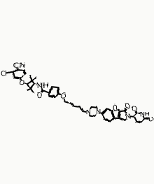 CC1(C)[C@H](NC(=O)c2ccc(OCCCCCN3CCN(c4ccc5c6c(oc5c4)C(=O)N(C4CCC(=O)NC4=O)C6)CC3)cc2)C(C)(C)[C@H]1Oc1ccc(C#N)c(Cl)c1